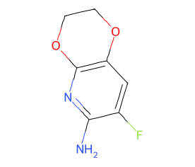 Nc1nc2c(cc1F)OCCO2